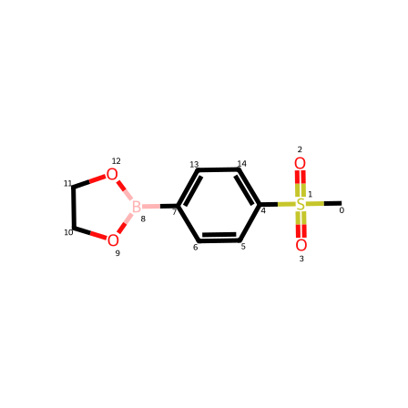 CS(=O)(=O)c1ccc(B2OCCO2)cc1